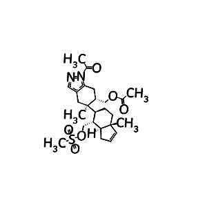 CC(=O)OC[C@H]1Cc2c(cnn2C(C)=O)C[C@]1(C)[C@H]1CC[C@]2(C)C=CC[C@H]2[C@@H]1COS(C)(=O)=O